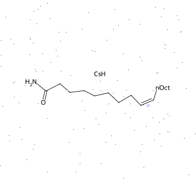 CCCCCCCC/C=C\CCCCCCCC(N)=O.[CsH]